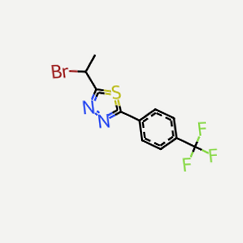 CC(Br)c1nnc(-c2ccc(C(F)(F)F)cc2)s1